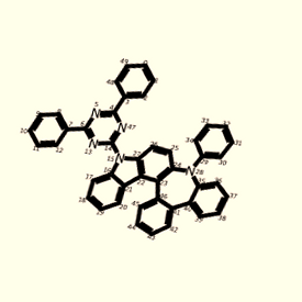 c1ccc(-c2nc(-c3ccccc3)nc(-n3c4ccccc4c4c5c(ccc43)N(c3ccccc3)c3ccccc3-c3ccccc3-5)n2)cc1